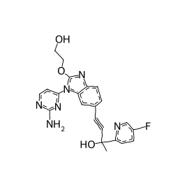 CC(O)(C#Cc1ccc2nc(OCCO)n(-c3ccnc(N)n3)c2c1)c1ccc(F)cn1